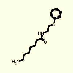 NCCCCCCC(=O)NCCSc1ccccc1